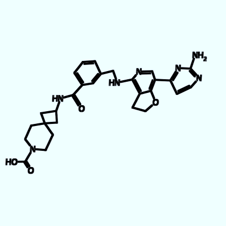 Nc1nccc(-c2cnc(NCc3cccc(C(=O)NC4CC5(CCN(C(=O)O)CC5)C4)c3)c3c2OCC3)n1